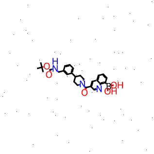 CC(C)(C)OC(=O)NCc1cccc(C2CCN(C(=O)c3cnc4c(B(O)O)cccc4c3)CC2)c1